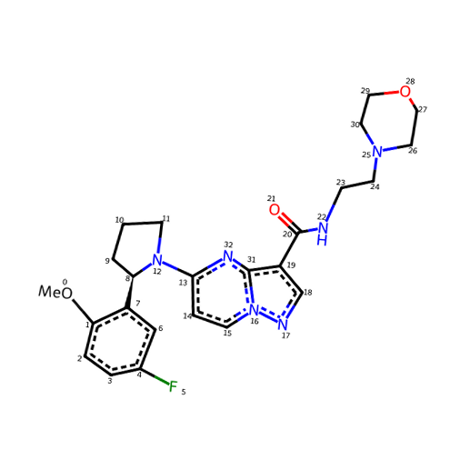 COc1ccc(F)cc1[C@H]1CCCN1c1ccn2ncc(C(=O)NCCN3CCOCC3)c2n1